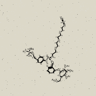 CC(=O)OC[C@H]1O[C@@H](Oc2ccccc2OS(=O)(=NCCOCCOCCOCCN=[N+]=[N-])Oc2ccc(CO[Si](C)(C)C(C)(C)C)cc2)[C@H](OC(C)=O)[C@@H](OC(C)=O)[C@H]1OC(C)=O